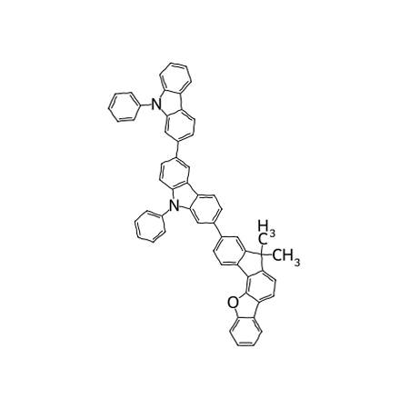 CC1(C)c2cc(-c3ccc4c5cc(-c6ccc7c8ccccc8n(-c8ccccc8)c7c6)ccc5n(-c5ccccc5)c4c3)ccc2-c2c1ccc1c2oc2ccccc21